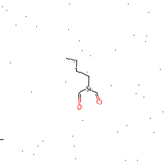 CCCC[Si](C=O)C=O